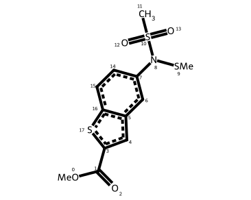 COC(=O)c1cc2cc(N(SC)S(C)(=O)=O)ccc2s1